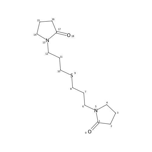 O=C1CCCN1CCCSCCCN1CCCC1=O